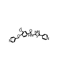 COc1cc(C(=O)Nc2nnc(-c3ccncc3)s2)ccc1OCc1ccncc1